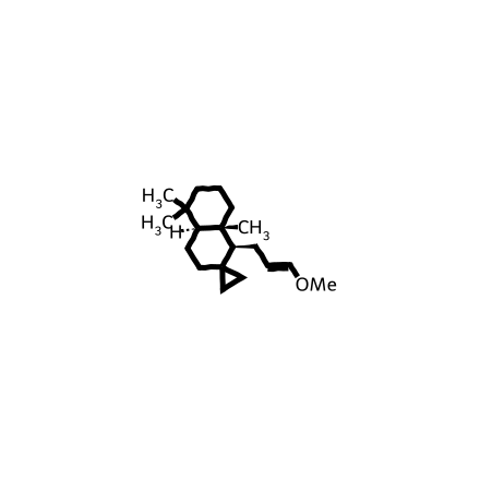 CO/C=C/C[C@H]1C2(CC[C@H]3C(C)(C)CCC[C@@]31C)CC2